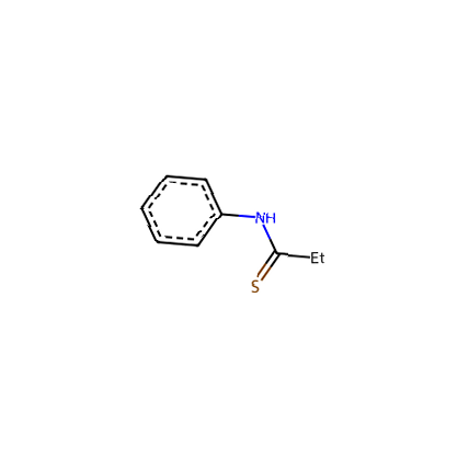 CCC(=S)Nc1ccccc1